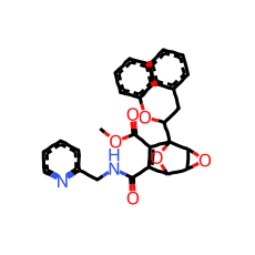 COC(=O)C1=C(C(=O)NCc2ccccn2)C2OC1(C(Cc1ccccc1)Oc1ccccc1)C1OC21